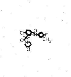 Cc1cc(NC(=O)c2ccc(Cl)c(C(F)(F)C(=O)N3CCC4OC4C3)c2)ccc1F